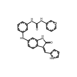 O=C(Nc1cccnc1)Nc1cccc(Nc2ccc3c(c2)NC(=O)C3=Cc2ccc[nH]2)c1